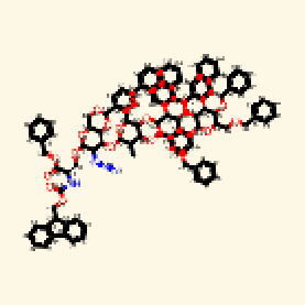 CC1C(OC2C(N=[N+]=[N-])C(OC[C@@H](NC(=O)OCC3c4ccccc4-c4ccccc43)C(=O)OCc3ccccc3)OC3COC(c4ccccc4)OC32)OC(COCc2ccccc2)C(OC2OC(COCc3ccccc3)C(OC3OC(COCc4ccccc4)C(OCc4ccccc4)C(OCc4ccccc4)C3OCc3ccccc3)C(OCc3ccccc3)C2OCc2ccccc2)C1OCc1ccccc1